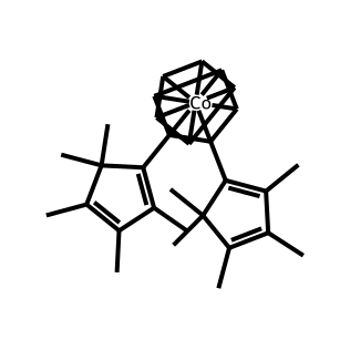 CC1=C(C)C(C)(C)C([C]23[CH]4[CH]5[CH]6[C]2(C2=C(C)C(C)=C(C)C2(C)C)[Co]54632789[CH]3[CH]2[CH]7[CH]8[CH]39)=C1C